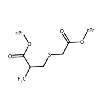 CCCOC(=O)CSCC(C(=O)OCCC)C(F)(F)F